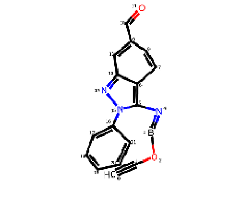 C#CO/B=N/c1c2ccc(C=O)cc2nn1-c1ccccc1